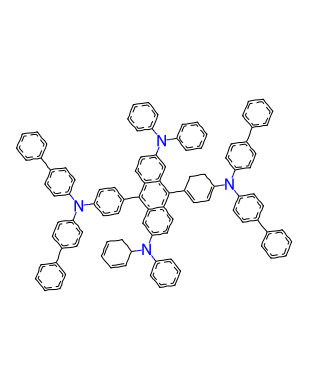 C1=CCC(N(c2ccccc2)c2ccc3c(C4=CC=C(N(c5ccc(-c6ccccc6)cc5)c5ccc(-c6ccccc6)cc5)CC4)c4cc(N(c5ccccc5)c5ccccc5)ccc4c(-c4ccc(N(c5ccc(-c6ccccc6)cc5)c5ccc(-c6ccccc6)cc5)cc4)c3c2)C=C1